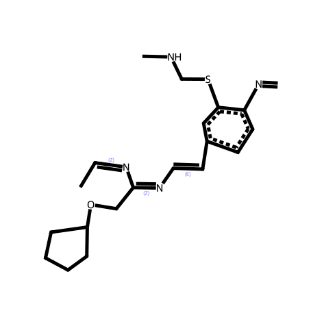 C=Nc1ccc(/C=C/N=C(COC2CCCC2)\N=C/C)cc1SCNC